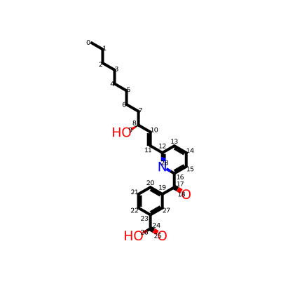 CCCCCCCC[C@H](O)/C=C/c1cccc(C(=O)c2cccc(C(=O)O)c2)n1